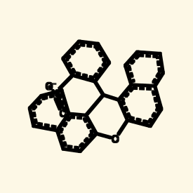 O=[N+]([O-])c1ccccc1C1c2c(ccc3ccccc23)Oc2ccc3ccccc3c21